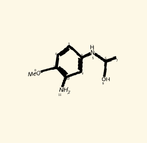 COc1ccc(NC(C)O)cc1N